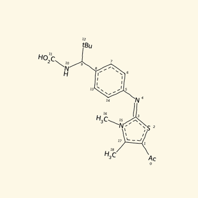 CC(=O)c1sc(=Nc2ccc(C(NC(=O)O)C(C)(C)C)cc2)n(C)c1C